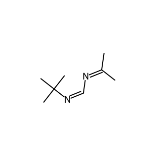 CC(C)=N/C=N\C(C)(C)C